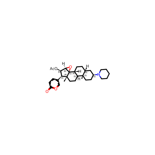 CC(=O)O[C@H]1[C@H]2O[C@]23[C@@H]2CC[C@@H]4C[C@@H](N5CCCCC5)CC[C@]4(C)[C@H]2CC[C@]3(C)[C@H]1c1ccc(=O)oc1